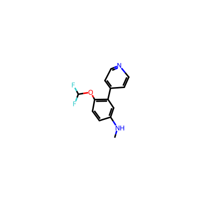 CNc1ccc(OC(F)F)c(-c2ccncc2)c1